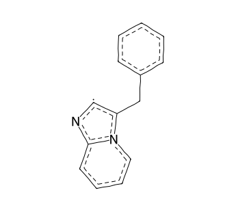 [c]1nc2ccccn2c1Cc1ccccc1